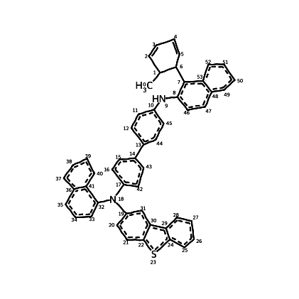 CC1C=CC=CC1c1c(Nc2ccc(-c3ccc(N(c4ccc5sc6ccccc6c5c4)c4cccc5ccccc45)cc3)cc2)ccc2ccccc12